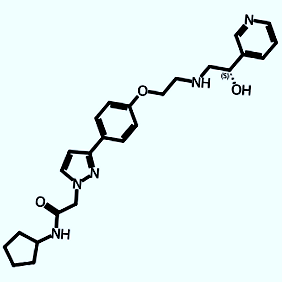 O=C(Cn1ccc(-c2ccc(OCCNC[C@@H](O)c3cccnc3)cc2)n1)NC1CCCC1